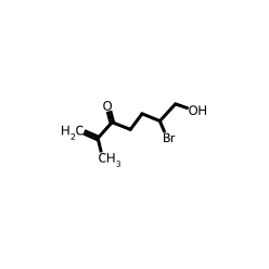 C=C(C)C(=O)CCC(Br)CO